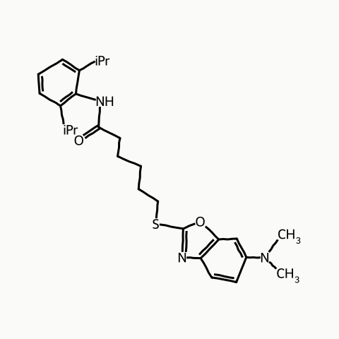 CC(C)c1cccc(C(C)C)c1NC(=O)CCCCCSc1nc2ccc(N(C)C)cc2o1